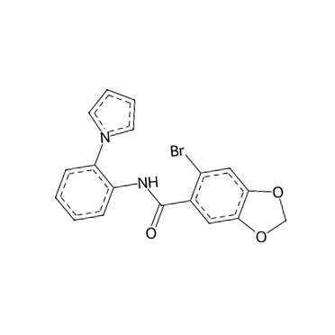 O=C(Nc1ccccc1-n1cccc1)c1cc2c(cc1Br)OCO2